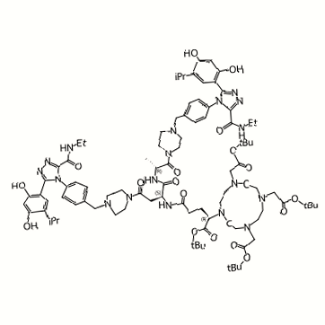 CCNC(=O)c1nnc(-c2cc(C(C)C)c(O)cc2O)n1-c1ccc(CN2CCN(C(=O)C[C@H](NC(=O)CC[C@H](C(=O)OC(C)(C)C)N3CCN(CC(=O)OC(C)(C)C)CCN(CC(=O)OC(C)(C)C)CCN(CC(=O)OC(C)(C)C)CC3)C(=O)N[C@H](C)C(=O)N3CCN(Cc4ccc(-n5c(C(=O)NCC)nnc5-c5cc(C(C)C)c(O)cc5O)cc4)CC3)CC2)cc1